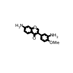 COc1ccc(-c2coc3cc(N)ccc3c2=O)cc1N